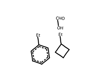 CCC1CCC1.CCc1ccccc1.O=CO